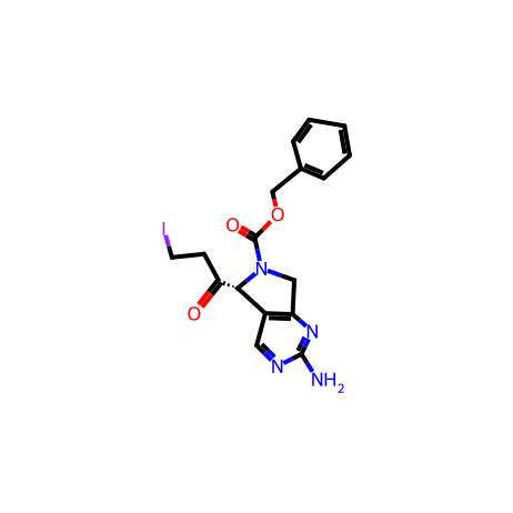 Nc1ncc2c(n1)CN(C(=O)OCc1ccccc1)[C@H]2C(=O)CCI